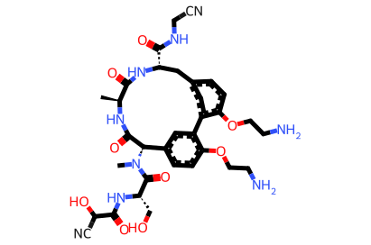 C[C@@H]1NC(=O)[C@@H](N(C)C(=O)[C@H](CO)NC(=O)C(O)C#N)c2ccc(OCCN)c(c2)-c2cc(ccc2OCCN)C[C@@H](C(=O)NCC#N)NC1=O